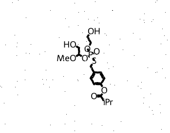 COC(CO)OP(=O)(OCCO)SCc1ccc(OC(=O)C(C)C)cc1